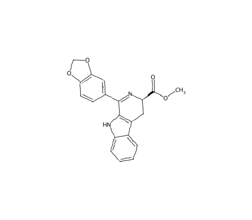 COC(=O)[C@H]1Cc2c([nH]c3ccccc23)C(c2ccc3c(c2)OCO3)=N1